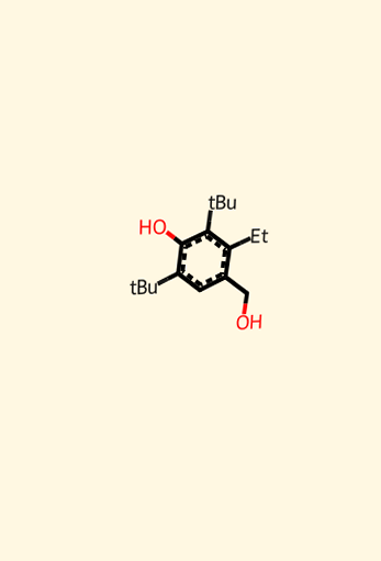 CCc1c(CO)cc(C(C)(C)C)c(O)c1C(C)(C)C